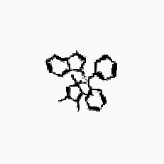 CC1=CC(C)([Si](c2ccccc2)(c2ccccc2)C2C=Cc3ccccc32)C(C)=C1C